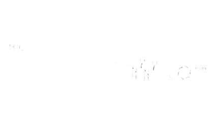 CCCCCCCCCCCCCCCCCCNC(=O)NC(=O)CCSc1ccc(O)cc1